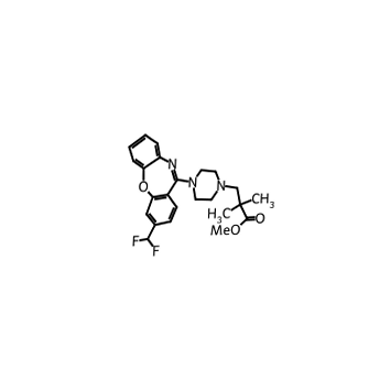 COC(=O)C(C)(C)CN1CCN(C2=Nc3ccccc3Oc3cc(C(F)F)ccc32)CC1